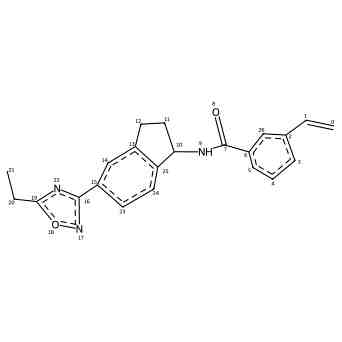 C=Cc1cccc(C(=O)NC2CCc3cc(-c4noc(CC)n4)ccc32)c1